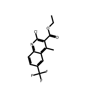 CCOC(=O)c1c(Cl)nc2ccc(C(F)(F)F)cc2c1C